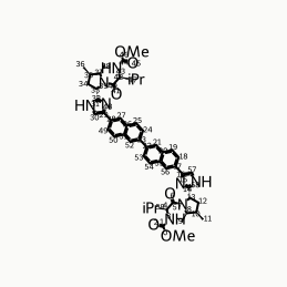 COC(=O)N[C@H](C(=O)N1[C@H](C)[C@H](C)C[C@H]1c1nc(-c2ccc3cc(-c4ccc5cc(-c6c[nH]c([C@@H]7C[C@@H](C)[C@@H](C)N7C(=O)[C@@H](NC(=O)OC)C(C)C)n6)ccc5c4)ccc3c2)c[nH]1)C(C)C